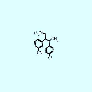 CC(c1ccc(Cl)cc1)C(CN)c1cccc(C#N)c1